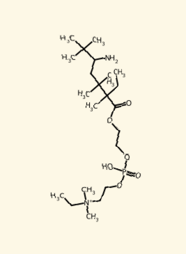 CCC(C)(C(=O)OCCOP(=O)(O)OCC[N+](C)(C)CC)C(C)(C)CC(N)C(C)(C)C